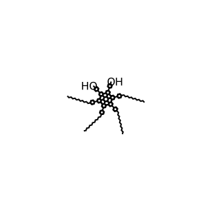 CCCCCCCCCCCCc1ccc(-c2cc3c4cc(-c5ccc(O)cc5)cc5c6cc(-c7ccc(O)cc7)cc7c8cc(-c9ccc(CCCCCCCCCCCC)cc9)cc9c%10cc(-c%11ccc(CCCCCCCCCCCC)cc%11)cc%11c%12cc(-c%13ccc(CCCCCCCCCCCC)cc%13)cc%13c(c2)c3c2c(c54)c(c67)c(c89)c(c%10%11)c2c%13%12)cc1